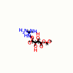 N=C(N)NOC(=O)C(O)C(O)C(=O)OC=O